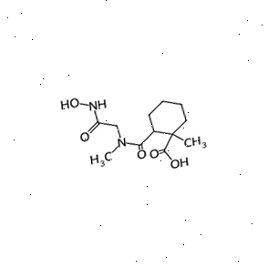 CN(CC(=O)NO)C(=O)C1CCCCC1(C)C(=O)O